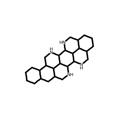 C1CCC2C(C1)CC1CNC3C4NCC5CCCC6CNC(C7NCC2C1C37)C4C56